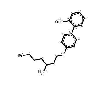 CC(C)CCCC(C)CCOc1ccc(-c2ccccc2C=O)cc1